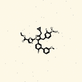 CCOC(=O)c1csc(-n2nc(CC3CC3)c(Cc3ccc([S+](N)[O-])c(F)c3)c2-c2ccc(F)c(-c3cccc(OC)c3)c2)n1